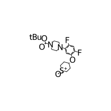 CC(C)(C)OC(=O)N1CCN(c2cc(O[C@H]3CC[S@+]([O-])CC3)c(F)cc2F)CC1